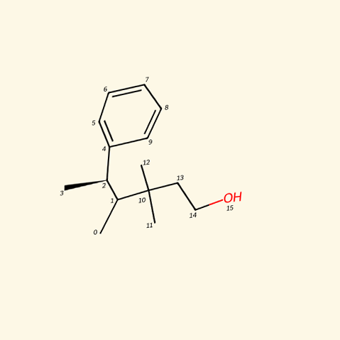 CC([C@@H](C)c1ccccc1)C(C)(C)CCO